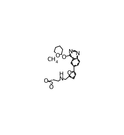 C.O=S(=O)=CCNCc1ccc(-c2ccc3ncnc(OC4CCCCO4)c3c2)o1